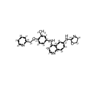 Cc1cc(Nc2ncnc3ccc(NC4=NCCO4)cc23)ccc1OCc1ccccn1